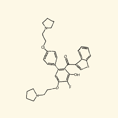 O=C(c1c(-c2ccc(OCCN3CCCC3)cc2)cc(OCCN2CCCC2)c(F)c1O)c1csc2ccccc12